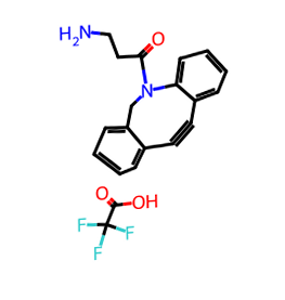 NCCC(=O)N1Cc2ccccc2C#Cc2ccccc21.O=C(O)C(F)(F)F